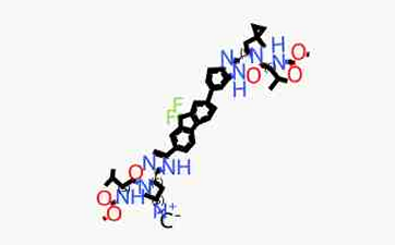 [C-]#[N+][C@H]1C[C@@H](c2ncc(-c3ccc4c(c3)C(F)(F)c3cc(-c5ccc6nc([C@@H]7CC8(CC8)CN7C(=O)[C@@H](NC(=O)OC)C(C)C)[nH]c6c5)ccc3-4)[nH]2)N(C(=O)[C@@H](NC(=O)OC)C(C)C)C1